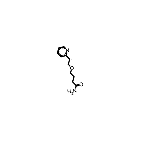 NC(=O)CCCOC[CH]c1ccccn1